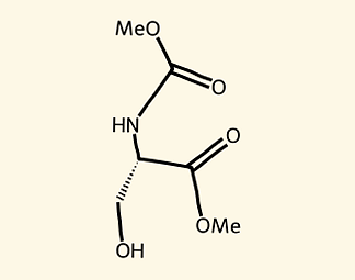 COC(=O)N[C@@H](CO)C(=O)OC